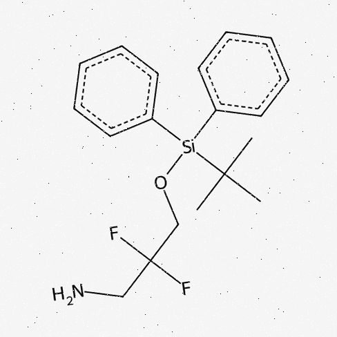 CC(C)(C)[Si](OCC(F)(F)CN)(c1ccccc1)c1ccccc1